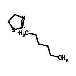 [CH2]CCCCC.[C]1=NCCS1